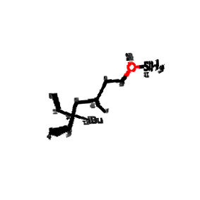 C=CC(C=C)(CC(C)CCO[SiH3])C(C)CC